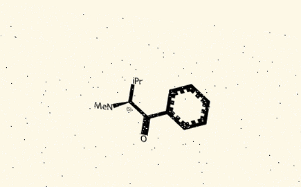 CN[C@H](C(=O)c1ccccc1)C(C)C